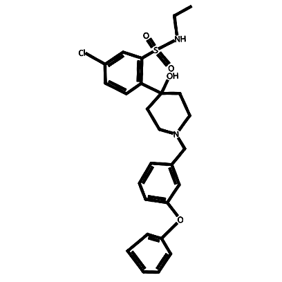 CCNS(=O)(=O)c1cc(Cl)ccc1C1(O)CCN(Cc2cccc(Oc3ccccc3)c2)CC1